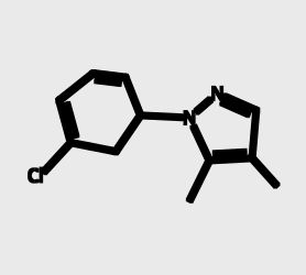 Cc1cnn(C2C=CC=C(Cl)C2)c1C